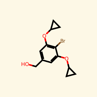 OCc1cc(OC2CC2)c(Br)c(OC2CC2)c1